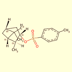 Cc1ccc(S(=O)(=O)O[C@H]2C[C@H]3C[C@@H]([C@@H]2C)C3(C)C)cc1